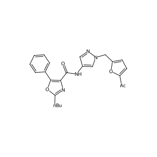 CCCCc1nc(C(=O)Nc2cnn(Cc3ccc(C(C)=O)o3)c2)c(-c2ccccc2)o1